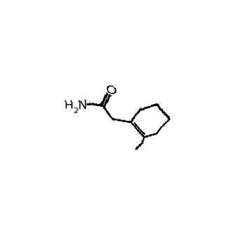 CC1=C(CC(N)=O)CCCC1